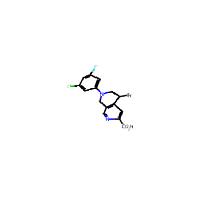 CC(C)C1CN(c2cc(F)cc(Cl)c2)Cc2cnc(C(=O)O)cc21